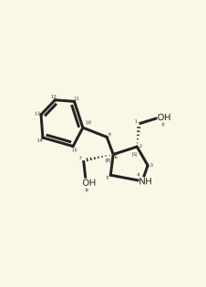 OC[C@@H]1CNC[C@@]1(CO)Cc1ccccc1